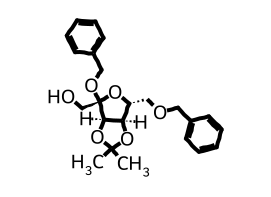 CC1(C)O[C@H]2[C@@H](O1)[C@](CO)(OCc1ccccc1)O[C@@H]2COCc1ccccc1